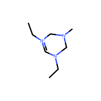 CCN1C=[N+](CC)CN(C)C1